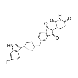 O=C1CCC(N2C(=O)c3ccc(CN4CCC(c5c[nH]c6cc(F)ccc56)CC4)cc3C2=O)C(=O)N1